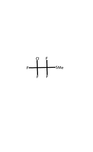 CSC(F)(F)C(F)(F)Cl